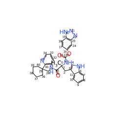 C[C@@](Cc1c[nH]c2ccccc12)(NC(=O)Oc1ccc2[nH]nnc2c1)C(=O)NCC1(c2ccccn2)CCCCC1